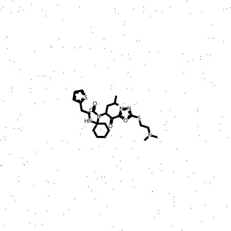 CC(C)CC(C(=O)c1nnc(SCCN(C)C)o1)N(C=O)C1(NC(=O)Cc2cccs2)CCCCC1